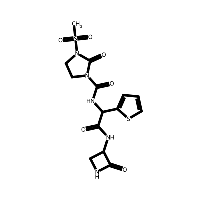 CS(=O)(=O)N1CCN(C(=O)NC(C(=O)NC2CNC2=O)c2cccs2)C1=O